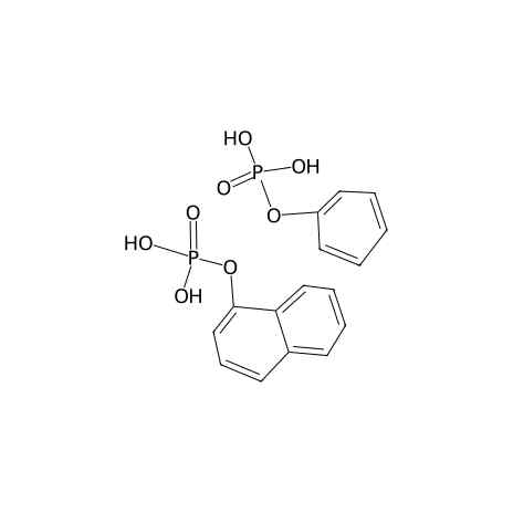 O=P(O)(O)Oc1cccc2ccccc12.O=P(O)(O)Oc1ccccc1